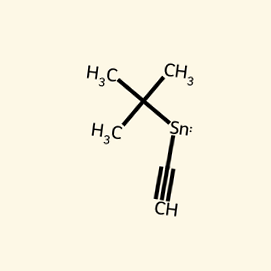 C#[C][Sn][C](C)(C)C